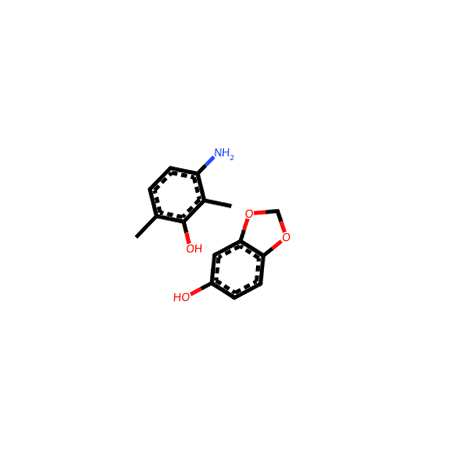 Cc1ccc(N)c(C)c1O.Oc1ccc2c(c1)OCO2